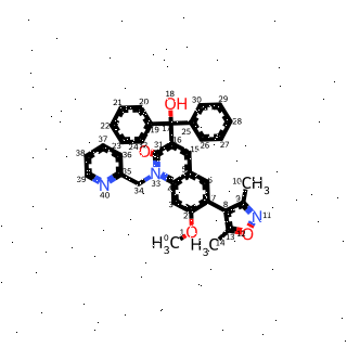 COc1cc2c(cc1-c1c(C)noc1C)cc(C(O)(c1ccccc1)c1ccccc1)c(=O)n2Cc1ccccn1